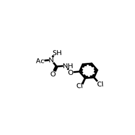 CC(=O)N(S)C(=O)NOc1cccc(Cl)c1Cl